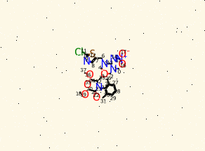 CN1COCN(Cc2cnc(Cl)s2)/C1=N/[N+](=O)[O-].COCC(=O)N(c1c(C)cccc1C)[C@H](C)C(=O)OC